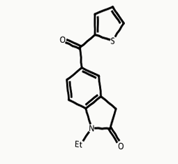 CCN1C(=O)Cc2cc(C(=O)c3cccs3)ccc21